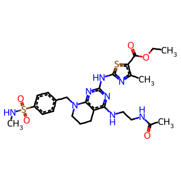 CCOC(=O)c1sc(Nc2nc(NCCNC(C)=O)c3c(n2)N(Cc2ccc(S(=O)(=O)NC)cc2)CCC3)nc1C